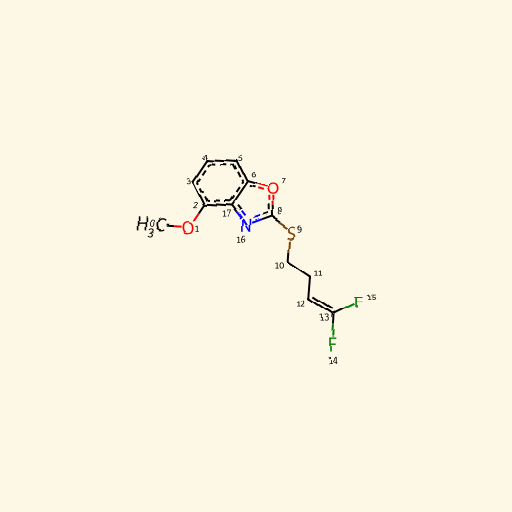 COc1cccc2oc(SCCC=C(F)F)nc12